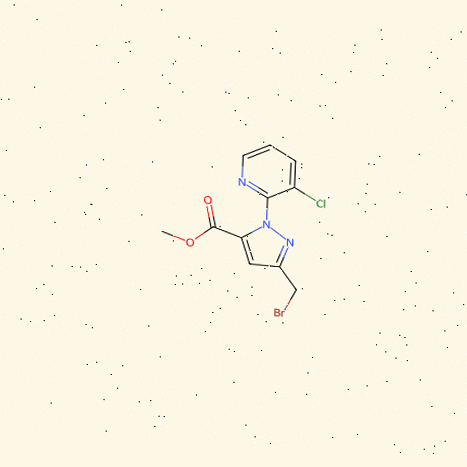 COC(=O)c1cc(CBr)nn1-c1ncccc1Cl